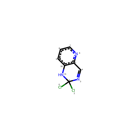 ClC1(Cl)N=Cc2ncccc2N1